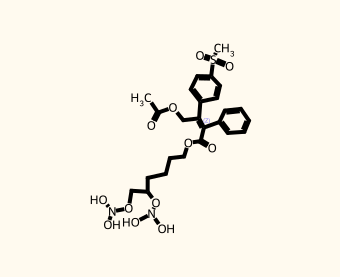 CC(=O)OC/C(=C(\C(=O)OCCCCC(CON(O)O)ON(O)O)c1ccccc1)c1ccc(S(C)(=O)=O)cc1